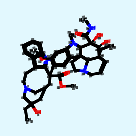 CCC1(O)CC2C[N@](CCc3c([nH]c4ccccc34)[C@@](C(=O)OC)(c3cc4c(cc3OC)N(C)C3C45CCN4CC=C[C@](CC)(C45)[C@@H](O)[C@]3(O)C(=O)NC)C2)C1